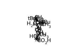 C=C1/C(=C/C=C2\CCC[C@]3(C)[C@@H]([C@H](C)/C=C/[C@@H](O)C4(OC(=O)O)CC4)CC[C@@H]23)CC(O[Si](C)(C)C(C)(C)C)CC1O[Si](C)(C)C(C)(C)C